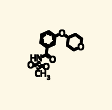 CS(=O)(=O)NC(=O)c1cccc(OC2CCOCC2)c1